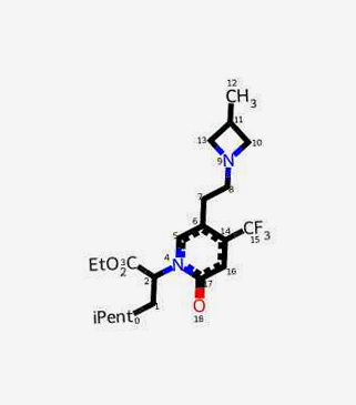 CCCC(C)CC(C(=O)OCC)n1cc(CCN2CC(C)C2)c(C(F)(F)F)cc1=O